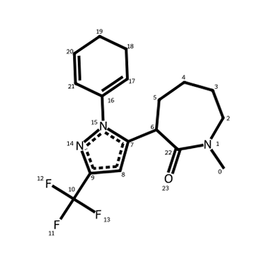 CN1CCCCC(c2cc(C(F)(F)F)nn2C2=CCCC=C2)C1=O